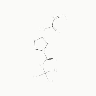 C=NC(=O)N[C@H]1CCN(C(=O)OC(C)(C)C)C1